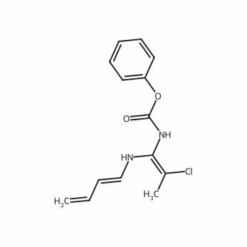 C=C/C=C/N/C(NC(=O)Oc1ccccc1)=C(\C)Cl